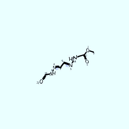 COC(=O)N/N=C/C=N/NC=O